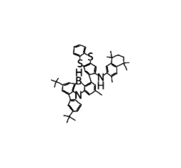 Cc1cc(-c2cc3c(cc2Nc2cc4c(cc2C)C(C)(C)CCC4(C)C)Sc2ccccc2S3)c2c(c1)-n1c3ccc(C(C)(C)C)cc3c3cc(C(C)(C)C)cc(c31)B2